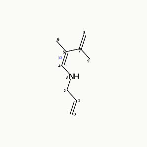 C=CCN/C=C(/C)C(=C)C